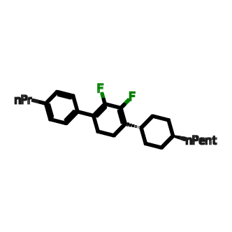 CCCCC[C@H]1CC[C@H](C2=C(F)C(F)=C(c3ccc(CCC)cc3)CC2)CC1